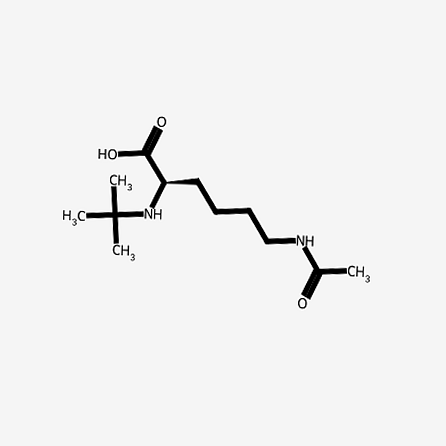 CC(=O)NCCCC[C@@H](NC(C)(C)C)C(=O)O